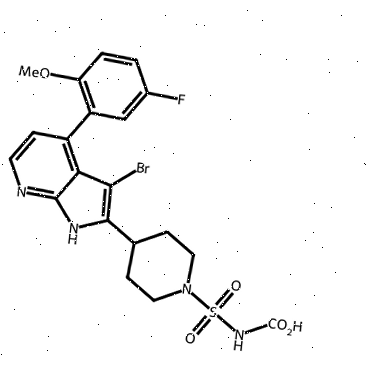 COc1ccc(F)cc1-c1ccnc2[nH]c(C3CCN(S(=O)(=O)NC(=O)O)CC3)c(Br)c12